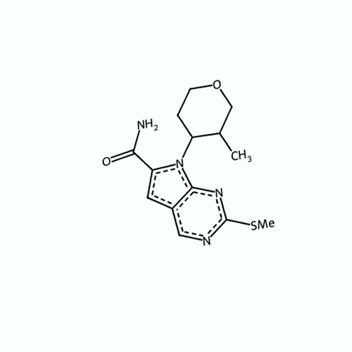 CSc1ncc2cc(C(N)=O)n(C3CCOCC3C)c2n1